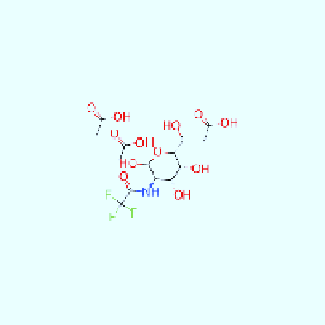 CC(=O)O.CC(=O)O.CC(=O)O.O=C(N[C@H]1C(O)O[C@H](CO)[C@H](O)[C@@H]1O)C(F)(F)F